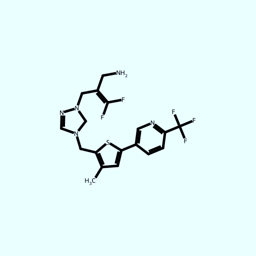 Cc1cc(-c2ccc(C(F)(F)F)nc2)sc1CN1C=NN(CC(CN)=C(F)F)C1